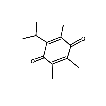 CC1=C(C)C(=O)C(C(C)C)=C(C)C1=O